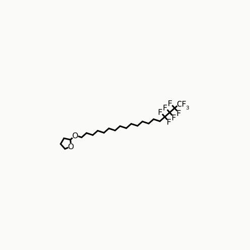 FC(F)(F)C(F)(F)C(F)(F)C(F)(F)CCCCCCCCCCCCCCCOC1CCCO1